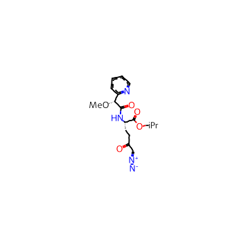 CO[C@@H](C(=O)N[C@@H](CCC(=O)C=[N+]=[N-])C(=O)OC(C)C)c1ccccn1